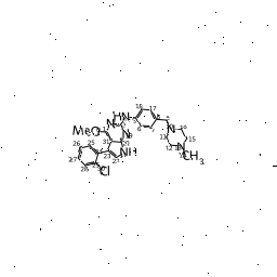 COc1nc(Nc2ccc(CN3CCN(C)CC3)cc2)nc2[nH]cc(-c3ccccc3Cl)c12